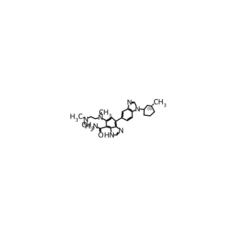 C[C@H]1CCCC(n2cnc3cc(-c4cc(N(C)CCN(C)C)c(C(N)=O)c5[nH]cnc45)ccc32)C1